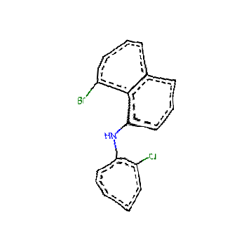 Clc1ccccc1Nc1cccc2cccc(Br)c12